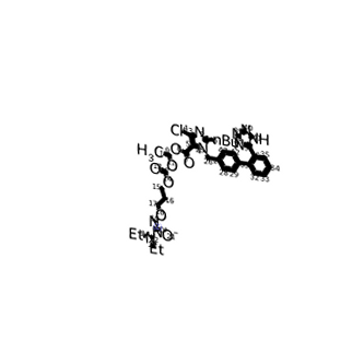 CCCCc1nc(Cl)c(C(=O)OC(C)OC(=O)OCCCO/N=[N+](\[O-])N(CC)CC)n1Cc1ccc(-c2ccccc2-c2nnn[nH]2)cc1